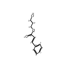 O=C(/C=C/c1ccccc1)OCCCCl